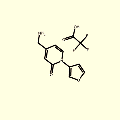 NCc1ccn(-c2ccoc2)c(=O)c1.O=C(O)C(F)(F)F